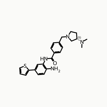 CN(C)[C@H]1CCN(Cc2ccc(C(=O)Nc3cc(-c4cccs4)ccc3N)cc2)C1